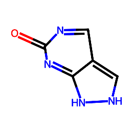 O=c1ncc2c[nH][nH]c-2n1